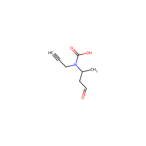 C#CCN(C(=O)O)C(C)CC=O